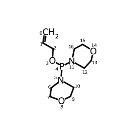 C=CCOP(N1CCOCC1)N1CCOCC1